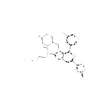 CCN(CCOC)c1nc2cc(-c3noc(=O)[nH]3)nc(-c3cncc(Cl)c3)c2n1CC1CCC(C)CC1